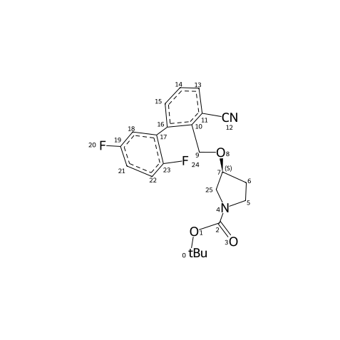 CC(C)(C)OC(=O)N1CC[C@H](OCc2c(C#N)cccc2-c2cc(F)ccc2F)C1